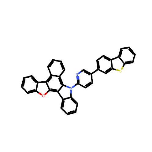 c1ccc2c(c1)oc1c2c2ccccc2c2c1c1ccccc1n2-c1ccc(-c2ccc3c(c2)sc2ccccc23)cn1